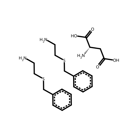 NCCSCc1ccccc1.NCCSCc1ccccc1.N[C@@H](CC(=O)O)C(=O)O